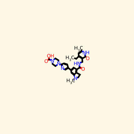 CCc1cc(C)[nH]c(=O)c1CNC(=O)c1cc(-c2ccc(N3CCN(C(=O)O)CC3)nc2)cc2c1CCN2C